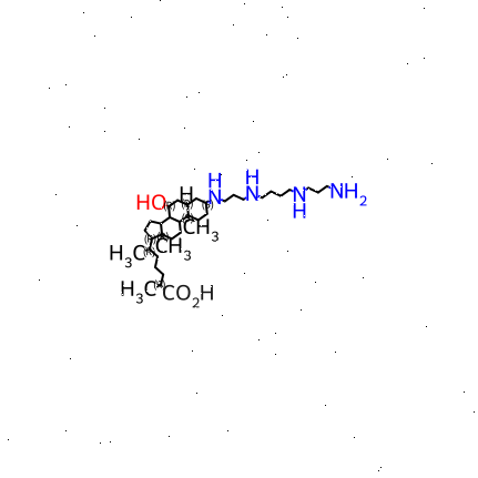 C[C@H](CCC[C@@H](C)[C@H]1CCC2C3C(CC[C@@]21C)[C@@]1(C)CC[C@H](NCCCNCCCCNCCCN)C[C@@H]1C[C@H]3O)C(=O)O